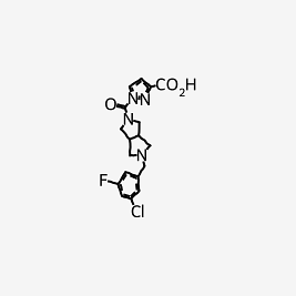 O=C(O)c1ccn(C(=O)N2CC3CN(Cc4cc(F)cc(Cl)c4)CC3C2)n1